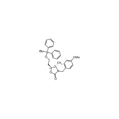 COc1ccc(CN2C(=O)O[C@@H](CCO[Si](c3ccccc3)(c3ccccc3)C(C)(C)C)[C@@H]2C)cc1